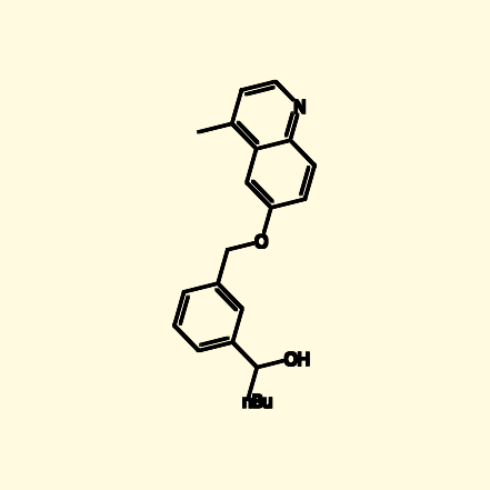 CCCCC(O)c1cccc(COc2ccc3nccc(C)c3c2)c1